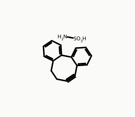 C1#Cc2ccccc2-c2ccccc2CC1.NS(=O)(=O)O